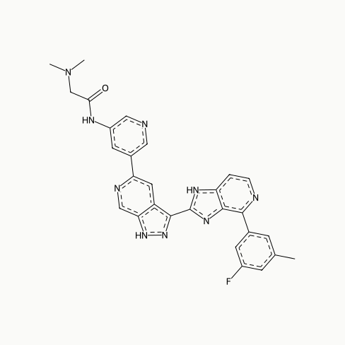 Cc1cc(F)cc(-c2nccc3[nH]c(-c4n[nH]c5cnc(-c6cncc(NC(=O)CN(C)C)c6)cc45)nc23)c1